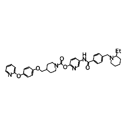 CCC1CCCCN1Cc1ccc(C(=O)Nc2ccc(OC(=O)N3CCC(COc4ccc(Oc5ccccn5)cc4)CC3)nc2)cc1